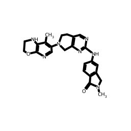 Cc1c(N2CCc3cnc(Nc4ccc5c(c4)CN(C)C5=O)nc3C2)cnc2c1NCCO2